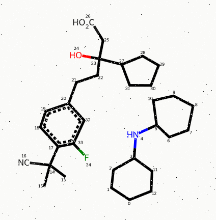 C1CCC(NC2CCCCC2)CC1.CC(C)(C#N)c1ccc(CCC(O)(CC(=O)O)C2CCCC2)cc1F